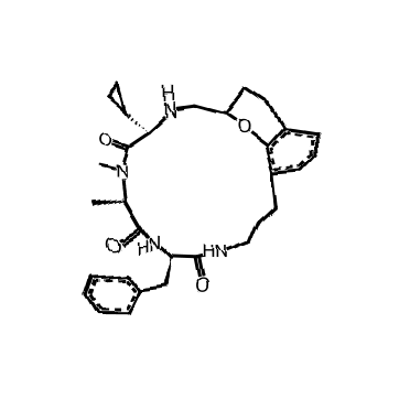 C[C@@H]1C(=O)N[C@H](Cc2ccccc2)C(=O)NCCCc2cccc3c2OC(CC3)CN[C@@H](C2CC2)C(=O)N1C